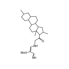 CS/C(C=N)=C/NCC(=O)C1C(C)CC2C3CCC4CC(C)CCC4C3CCC21C